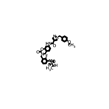 CNS(=O)(=O)Nc1cccc(CN2Cc3ccc(NC(=O)c4cnn(Cc5ccc(OC)cc5)c4)cc3OC2=O)c1F